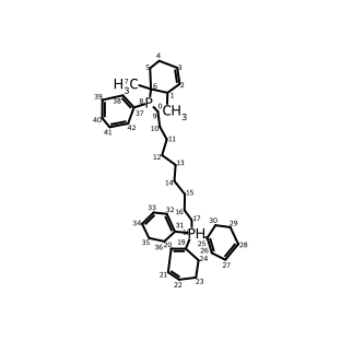 CC1C=CCCC1(C)P(CCCCCCCCC[PH](C1=CC=CCC1)(C1=CC=CCC1)C1=CC=CCC1)c1ccccc1